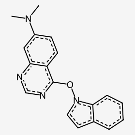 CN(C)c1ccc2c(On3ccc4ccccc43)ncnc2c1